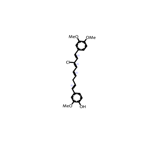 COc1cc(/C=C/C/C=C/C=C(Cl)/C=C/c2ccc(OC)c(OC)c2)ccc1O